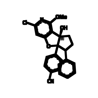 COc1nc(Cl)cc2c1[C@]1(O)CCC(c3ccccc3)C1(c1ccc(C#N)cc1)O2